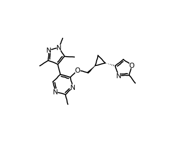 Cc1ncc(-c2c(C)nn(C)c2C)c(OC[C@H]2C[C@@H]2c2coc(C)n2)n1